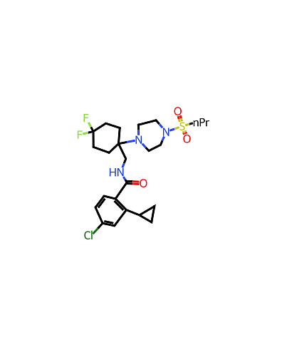 CCCS(=O)(=O)N1CCN(C2(CNC(=O)c3ccc(Cl)cc3C3CC3)CCC(F)(F)CC2)CC1